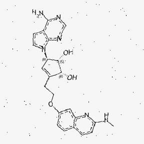 CNc1ccc2ccc(OCCC3=C[C@@H](n4ccc5c(N)ncnc54)[C@H](O)[C@@H]3O)cc2n1